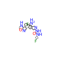 Cc1c(-c2cc3cc(NC(=O)N[C@H]4C[C@H](F)C4)ncc3c(N)c2F)cnc2c1NCCO2